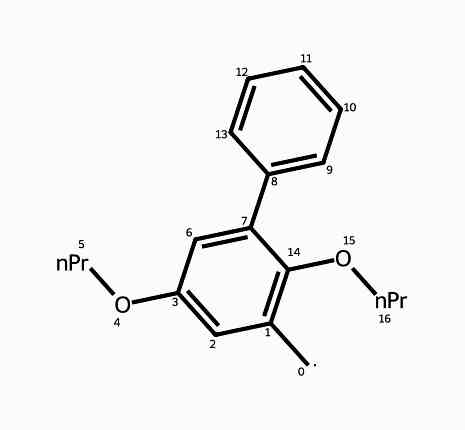 [CH2]c1cc(OCCC)cc(-c2ccccc2)c1OCCC